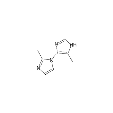 Cc1[nH]cnc1-n1ccnc1C